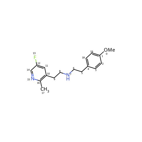 COc1ccc(CCNCCc2cc(F)cnc2C)cc1